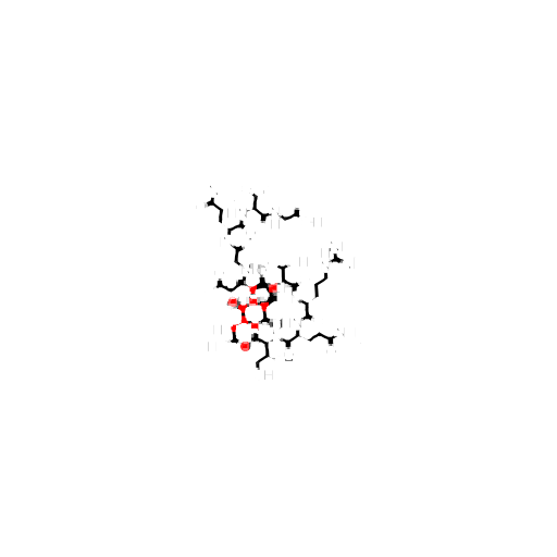 CC[C@H](C)[C@H](NC(=O)[C@H](CCC(N)=O)NC(=O)[C@H](CCCNC(=N)N)NC(=O)[C@@H](NC(=O)[C@H](CCC(=O)O)NC(=O)[C@H](CC(=O)O)NC(=O)[C@@H](N)CO)C(C)C)C(=O)N[C@@H](C)C(=O)N1CCC[C@H]1C(=O)NCC(=O)N[C@@H](CCC(N)=O)C(=O)N[C@H](C(=O)NCC(=O)O)[C@@H](C)O